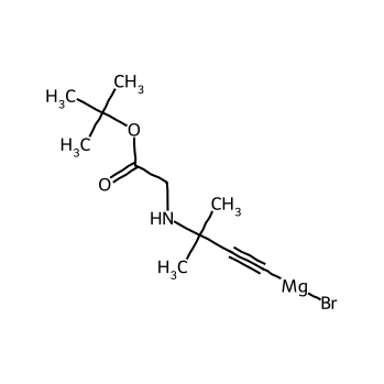 CC(C)(C#[C][Mg][Br])NCC(=O)OC(C)(C)C